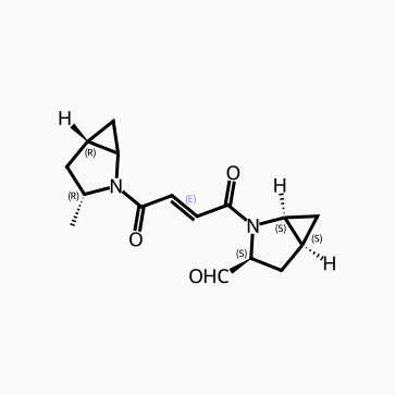 C[C@@H]1C[C@@H]2CC2N1C(=O)/C=C/C(=O)N1[C@H](C=O)C[C@@H]2C[C@@H]21